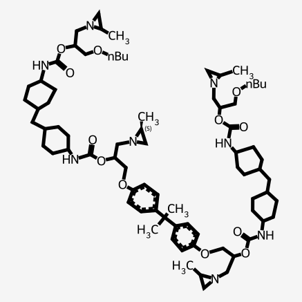 CCCCOCC(CN1CC1C)OC(=O)NC1CCC(CC2CCC(NC(=O)OC(COc3ccc(C(C)(C)c4ccc(OCC(CN5C[C@@H]5C)OC(=O)NC5CCC(CC6CCC(NC(=O)OC(COCCCC)CN7CC7C)CC6)CC5)cc4)cc3)CN3CC3C)CC2)CC1